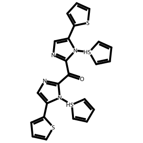 O=C(c1ncc(-c2cccs2)n1[SH]1C=CC=C1)c1ncc(-c2cccs2)n1[SH]1C=CC=C1